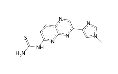 Cn1cnc(-c2cnc3ccc(NC(N)=S)nc3n2)c1